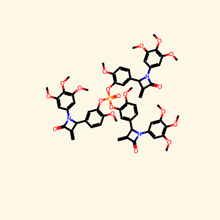 C=C1C(=O)N(c2cc(OC)c(OC)c(OC)c2)C1c1ccc(OC)c(OP(=O)(Oc2cc(C3C(=C)C(=O)N3c3cc(OC)c(OC)c(OC)c3)ccc2OC)Oc2cc(C3C(=C)C(=O)N3c3cc(OC)c(OC)c(OC)c3)ccc2OC)c1